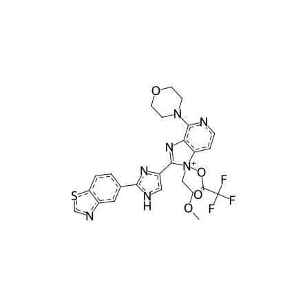 COCC[N+]1(OC(=O)C(F)(F)F)C(c2c[nH]c(-c3ccc4scnc4c3)n2)=Nc2c1ccnc2N1CCOCC1